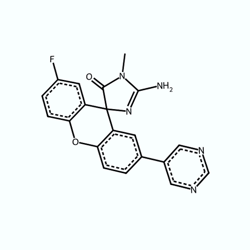 CN1C(=O)C2(N=C1N)c1cc(F)ccc1Oc1ccc(-c3cncnc3)cc12